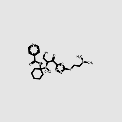 CC(C)CC(C(=O)c1nnc(SCCN(C)C)o1)N(C=O)C1(NC(=O)c2ccncc2)CCCCC1